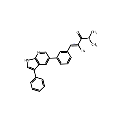 CN(C)C(=O)/C(C#N)=C/c1cccc(-c2cnc3[nH]cc(-c4ccccc4)c3c2)c1